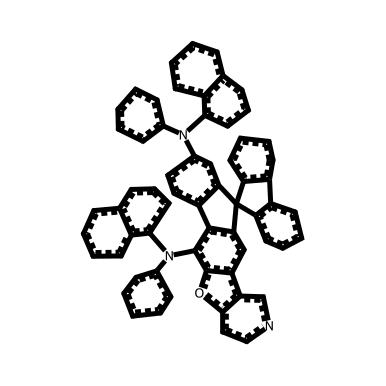 c1ccc(N(c2ccc3c(c2)C2(c4ccccc4-c4ccccc42)c2cc4c(oc5ccncc54)c(N(c4ccccc4)c4cccc5ccccc45)c2-3)c2cccc3ccccc23)cc1